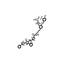 O=C(NCCCCc1ccc(OCc2ccc(F)c(C(F)(F)F)c2)c(CNCCO)c1)c1cnc(N/N=C2/C(=O)N(c3nc(-c4ccccc4)cs3)N=C2c2ccccc2)s1